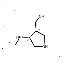 CN[C@H]1CNC[C@@H]1CO